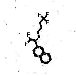 FC(F)=C(CCCCC(F)(F)F)c1ccc2ccccc2c1